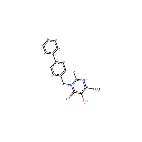 Cc1nc(C(=O)O)c(O)c(=O)n1Cc1ccc(-c2ccccc2)cc1